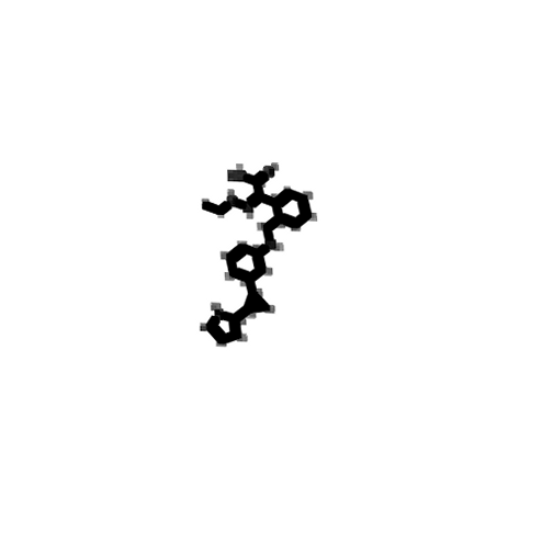 CCON=C(C(=O)O)c1ccccc1COc1cccc(C2CC2c2cccs2)c1